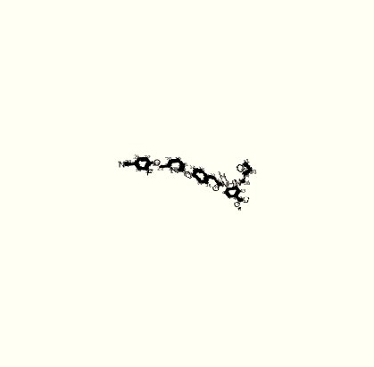 COC(=O)c1ccc(NC(=O)Cc2ccc(Oc3cccc(COc4ccc(C#N)cc4F)n3)cc2)c(NC[C@@H]2CCO2)c1